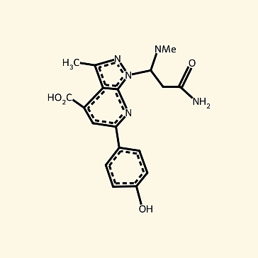 CNC(CC(N)=O)n1nc(C)c2c(C(=O)O)cc(-c3ccc(O)cc3)nc21